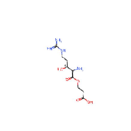 N=C(N)NCC[C@H](O)C(N)C(=O)OCCC(=O)O